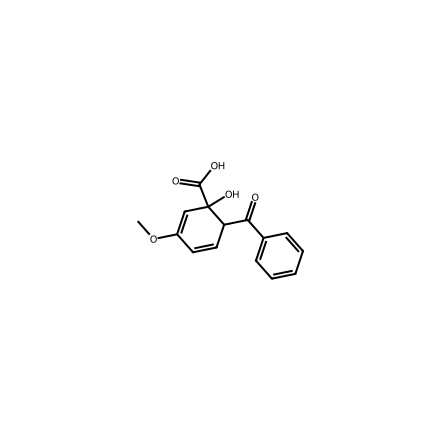 COC1=CC(O)(C(=O)O)C(C(=O)c2ccccc2)C=C1